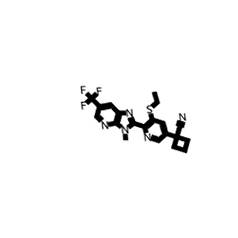 CCSc1cc(C2(C#N)CCC2)cnc1-c1nc2cc(C(F)(F)F)cnc2n1C